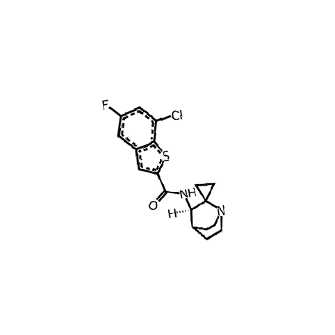 O=C(N[C@@H]1C2CCN(CC2)C12CC2)c1cc2cc(F)cc(Cl)c2s1